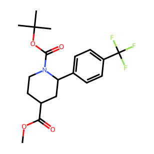 COC(=O)C1CCN(C(=O)OC(C)(C)C)C(c2ccc(C(F)(F)F)cc2)C1